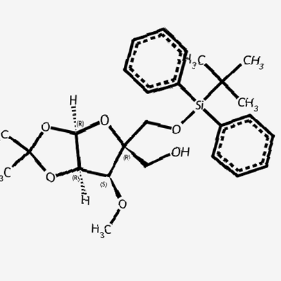 CO[C@H]1[C@H]2OC(C)(C)O[C@H]2O[C@]1(CO)CO[Si](c1ccccc1)(c1ccccc1)C(C)(C)C